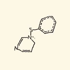 C1=CN=C[N+](Sc2ccccc2)C1